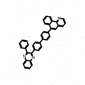 c1ccc(-c2nc3ccccc3nc2-c2ccc(-c3ccc(-c4cc5cccnc5c5ccccc45)cc3)cc2)cc1